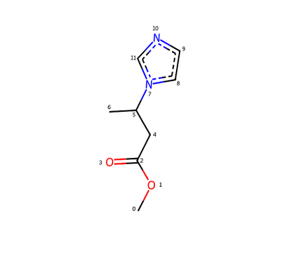 COC(=O)CC(C)n1ccnc1